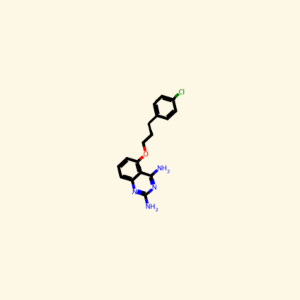 Nc1nc(N)c2c(OCCCc3ccc(Cl)cc3)cccc2n1